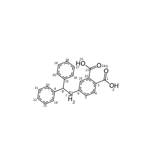 O=C(O)c1ccc([SiH2]C(c2ccccc2)c2ccccc2)cc1C(=O)O